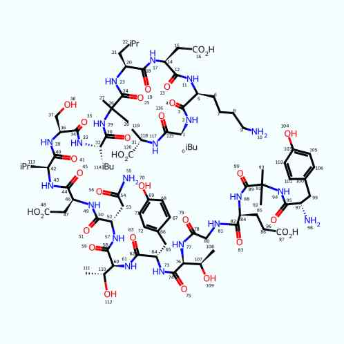 CC[C@H](C)[C@H](NC(=O)[C@H](CCCCN)NC(=O)[C@H](CC(=O)O)NC(=O)[C@H](CC(C)C)NC(=O)C(C)(C)NC(=O)[C@@H](NC(=O)[C@H](CO)NC(=O)[C@@H](NC(=O)[C@H](CC(=O)O)NC(=O)[C@H](CC(N)=O)NC(=O)[C@@H](NC(=O)[C@H](Cc1ccc(O)cc1)NC(=O)[C@@H](NC(=O)CNC(=O)[C@H](CCC(=O)O)NC(=O)C(C)(C)NC(=O)[C@@H](N)Cc1ccc(O)cc1)[C@@H](C)O)[C@@H](C)O)C(C)C)[C@@H](C)CC)C(=O)N[C@@H](C)C(=O)O